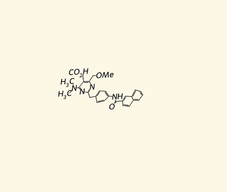 COCc1nc(Cc2ccc(NC(=O)c3ccc4ccccc4c3)cc2)nc(N(C)C)c1CC(=O)O